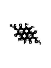 CCN1C(=O)c2c(F)c(F)c3c4c(c(F)c(F)c(c24)C1=O)C(=O)N(CC)C3=O